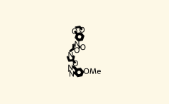 COc1ccc2ncnc(OC3CCN(CC4CN(c5ccc6c(c5)OCCO6)C(=O)O4)C3)c2c1